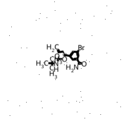 C=CC[C@H](OC(=O)NC(C)(C)C)c1cc(Br)cc(C(N)=O)c1